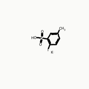 Cc1ccc(I)c(S(=O)(=O)O)c1.[K]